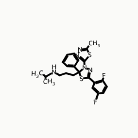 Cc1nnc(N2N=C(c3cc(F)ccc3F)SC2(CCCNC(C)C)c2ccccc2)s1